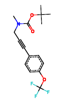 CN(CC#Cc1ccc(OC(F)(F)F)cc1)C(=O)OC(C)(C)C